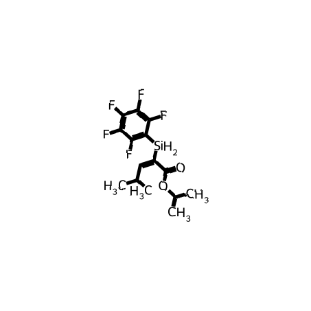 CC(C)C=C([SiH2]c1c(F)c(F)c(F)c(F)c1F)C(=O)OC(C)C